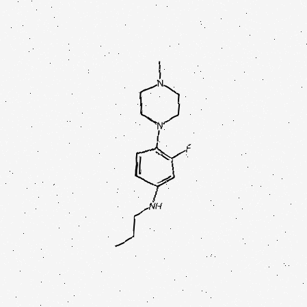 CCCNc1ccc(N2CCN(C)CC2)c(F)c1